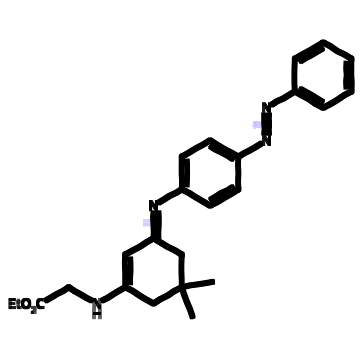 CCOC(=O)CNC1=C/C(=N/c2ccc(/N=N/c3ccccc3)cc2)CC(C)(C)C1